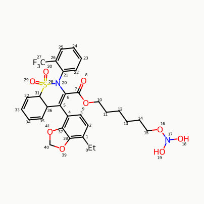 CCc1ccc(C2=C(C(=O)OCCCCCCON(O)O)N(c3ccccc3C(F)(F)F)S(=O)(=O)C3C=CC=CC23)c2c1OCO2